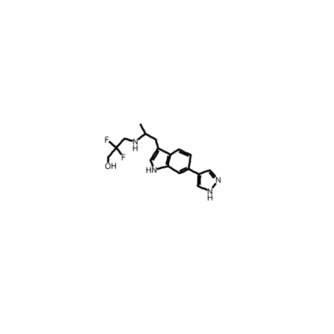 CC(Cc1c[nH]c2cc(-c3cn[nH]c3)ccc12)NCC(F)(F)CO